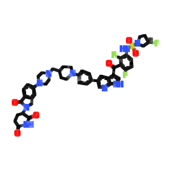 O=C1CCC(N2Cc3cc(N4CCN(CC5CCN(c6ccc(-c7cnc8[nH]cc(C(=O)c9c(F)ccc(NS(=O)(=O)N%10CC[C@@H](F)C%10)c9F)c8c7)cc6)CC5)CC4)ccc3C2=O)C(=O)N1